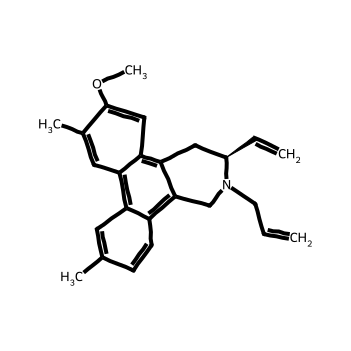 C=CCN1Cc2c(c3cc(OC)c(C)cc3c3cc(C)ccc23)C[C@H]1C=C